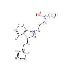 Cc1ccccc1.O=C(O)N(O)CCCNCCCCc1ccccc1